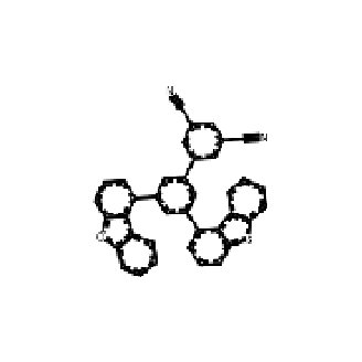 N#Cc1cc(C#N)cc(-c2cc(-c3cccc4oc5ccccc5c34)cc(-c3cccc4sc5ccccc5c34)c2)c1